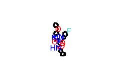 CN(C(=O)CN(CC(=O)NC1Cc2ccccc2C1)C(=O)c1cc2cc(F)ccc2[nH]1)c1ccc(Oc2ccccc2)cc1